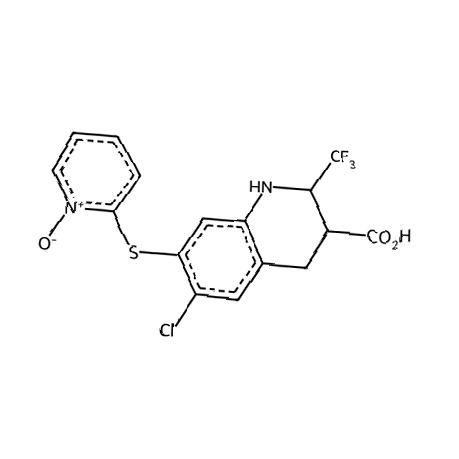 O=C(O)C1Cc2cc(Cl)c(Sc3cccc[n+]3[O-])cc2NC1C(F)(F)F